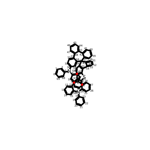 c1ccc(N(c2ccc3c(c2)-c2ccccc2N(c2ccccc2)c2ccccc2-3)c2ccc3c(c2)C2(c4ccccc4-c4ccccc4-3)c3ccccc3-c3c2ccc2c3sc3ccccc32)cc1